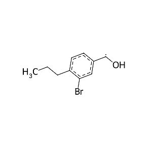 CCCc1ccc([CH]O)cc1Br